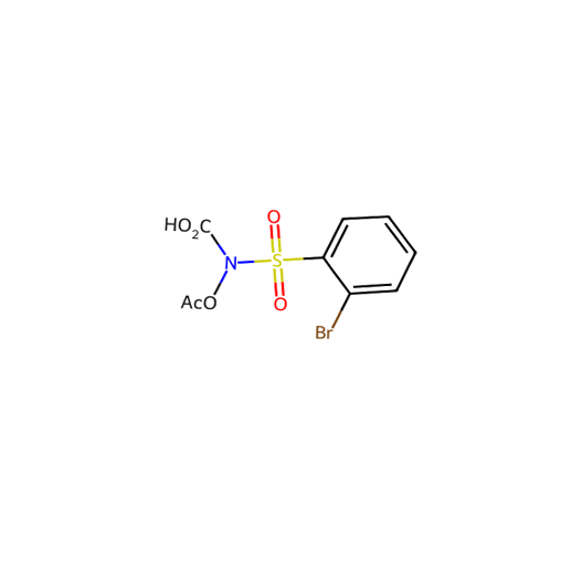 CC(=O)ON(C(=O)O)S(=O)(=O)c1ccccc1Br